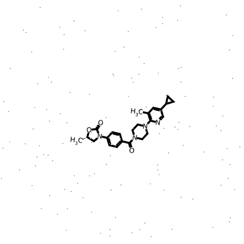 Cc1cc(C2CC2)cnc1N1CCN(C(=O)c2ccc(N3C[C@H](C)OC3=O)cc2)CC1